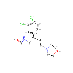 O=CNCC(CCN1CCOCC1)c1ccc(Cl)c(Cl)c1